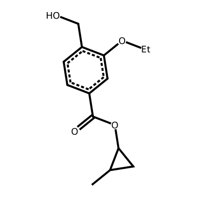 CCOc1cc(C(=O)OC2CC2C)ccc1CO